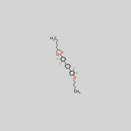 CCCCCCOc1ccc(-c2ccc(-c3ccc(C4OCC(CCCCC)CO4)c(F)c3F)cc2)c(F)c1F